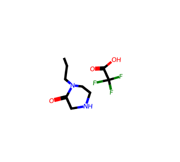 CCCN1CCNCC1=O.O=C(O)C(F)(F)F